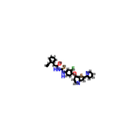 C#Cc1ccccc1CC(=O)NC(=S)Nc1ccc(Oc2ccnc3cc(-c4ccccn4)sc23)c(F)c1